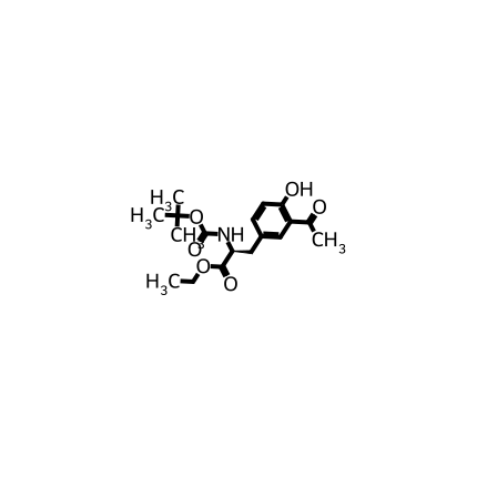 CCOC(=O)[C@H](Cc1ccc(O)c(C(C)=O)c1)NC(=O)OC(C)(C)C